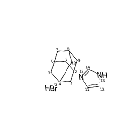 Br.C1C2CC3CC1CC(C2)C3.c1c[nH]cn1